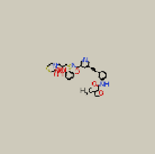 Cc1ccoc1C(=O)Nc1cccc(C#Cc2cncc(C(=O)N=S(CCCN3CCSCC3(O)O)c3ccccc3O)c2)c1